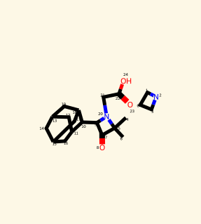 C1C[N]C1.CC1(C)C(=O)C(C2C3CC4CC(C3)CC2C4)N1CC(=O)O